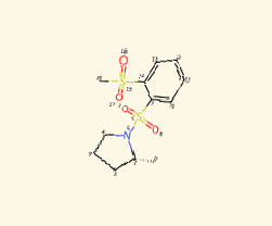 C[C@@H]1CCCN1S(=O)(=O)c1ccccc1S(C)(=O)=O